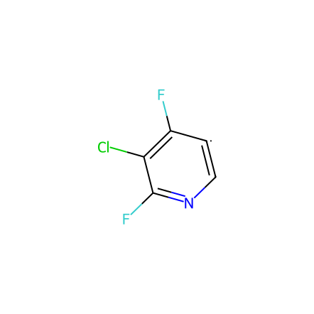 Fc1[c]cnc(F)c1Cl